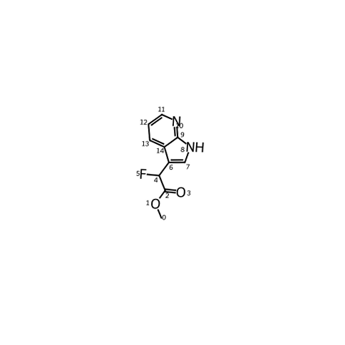 COC(=O)C(F)c1c[nH]c2ncccc12